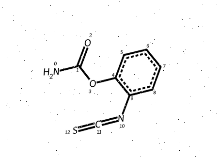 NC(=O)Oc1ccccc1N=C=S